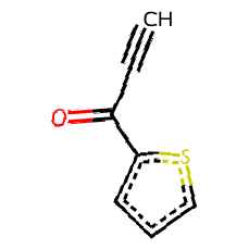 C#CC(=O)c1cccs1